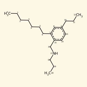 CCCCCCCc1cc(CCC)ccc1CNCCC